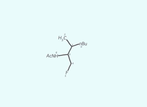 CCCCC(C)C(CF)NC(C)=O